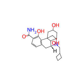 NC(=O)c1ccc2c(c1O)C13CCN(CC4CCC4)[C@H](C2)[C@]1(O)CCC(O)C3